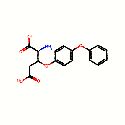 N[C@H](C(=O)O)C(CC(=O)O)Oc1ccc(Oc2ccccc2)cc1